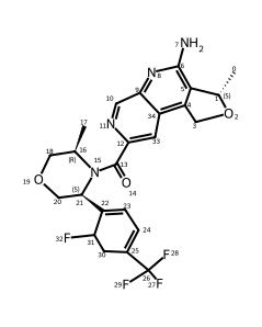 C[C@@H]1OCc2c1c(N)nc1cnc(C(=O)N3[C@H](C)COC[C@@H]3C3=CC=C(C(F)(F)F)CC3F)cc21